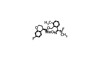 CO/N=C(\c1cccc(C)c1CO/N=C1\CCOc2cc(F)ccc21)N(C)F